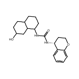 O=C(NC1CCCC2CCC(O)CC21)N[C@@H]1CCOc2ccccc21